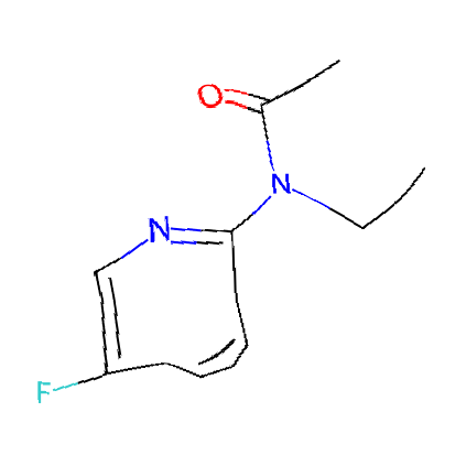 CCN(C(C)=O)c1ccc(F)cn1